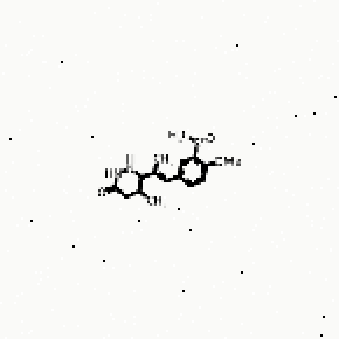 COc1ccc(/C=C(\C)C2NNC(=O)CC2C)cc1[S+](C)[O-]